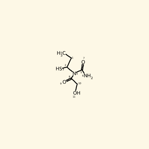 CCC(S)N(C(N)=O)C(=O)CO